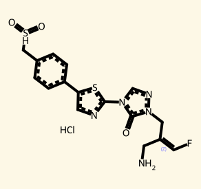 Cl.NC/C(=C/F)Cn1ncn(-c2ncc(-c3ccc(C[SH](=O)=O)cc3)s2)c1=O